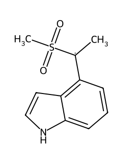 C[C](c1cccc2[nH]ccc12)S(C)(=O)=O